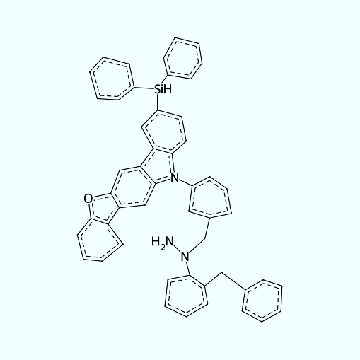 NN(Cc1cccc(-n2c3ccc([SiH](c4ccccc4)c4ccccc4)cc3c3cc4oc5ccccc5c4cc32)c1)c1ccccc1Cc1ccccc1